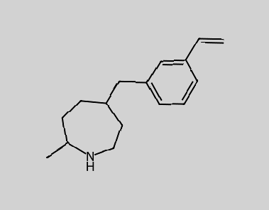 C=Cc1cccc(CC2CCNC(C)CC2)c1